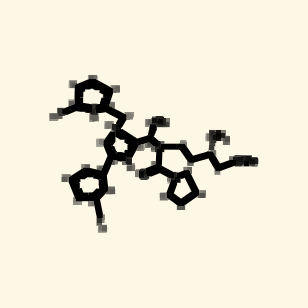 COC[C@@H](N)CCN(C(=O)N1CCCC1)[C@@H](c1nc(-c2cccc(F)c2)cn1Cc1cccc(F)c1)C(C)(C)C